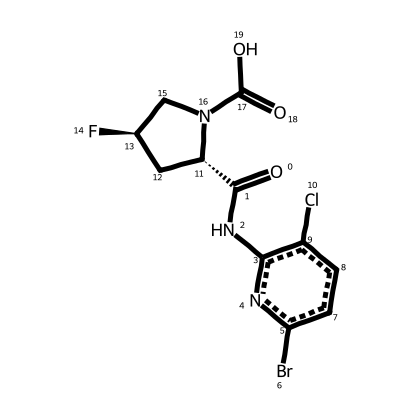 O=C(Nc1nc(Br)ccc1Cl)[C@@H]1C[C@@H](F)CN1C(=O)O